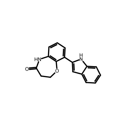 O=C1CCOc2c(cccc2-c2cc3ccccc3[nH]2)N1